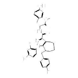 COC(=O)[C@@H](Cc1ccc(O)cc1)NC(=O)c1nn(-c2ccc(F)cc2F)c2c1CCCCC2Cc1ccc(F)cc1